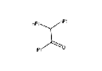 CCCC(CCC)C(=O)C(C)C